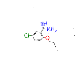 CCCOc1ccc(Cl)cc1C(=N)N